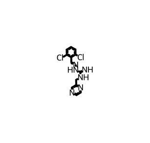 N=C(NCc1cnccn1)NN=Cc1c(Cl)cccc1Cl